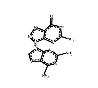 Nc1nc(N)c2nc[nH]c2n1.Nc1nc2[nH]nnc2c(=O)[nH]1